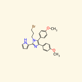 COc1ccc(-c2nc(-c3ccc[nH]3)n(CCCBr)c2-c2ccc(OC)cc2)cc1